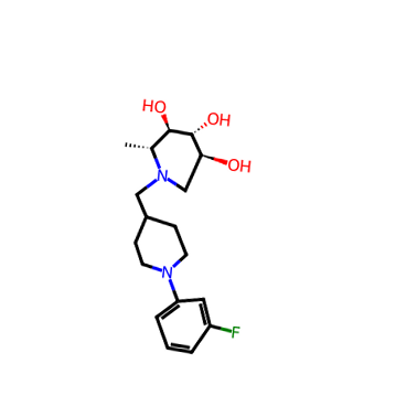 C[C@@H]1[C@@H](O)[C@H](O)[C@@H](O)CN1CC1CCN(c2cccc(F)c2)CC1